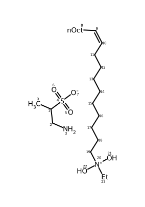 CC(CN)S(=O)(=O)[O-].CCCCCCCC/C=C\CCCCCCCCC[N+](O)(O)CC